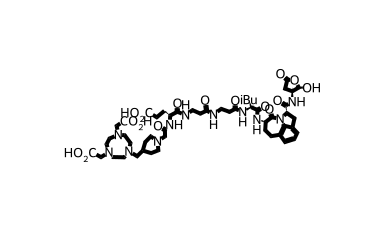 CC[C@H](C)[C@H](NC(=O)CCNC(=O)CCNC(=O)[C@@H](CCC(=O)O)NC(=O)CN1CCC(CN2CCN(CC(=O)O)CCN(CC(=O)O)CC2)CC1)C(=O)N[C@H]1CCc2cccc3c2N(C1=O)[C@H](C(=O)N[C@H]1CC(=O)O[C@H]1O)C3